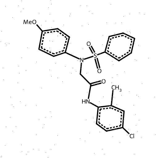 COc1ccc(N(CC(=O)Nc2ccc(Cl)cc2C)S(=O)(=O)c2ccccc2)cc1